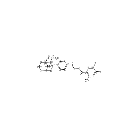 Cc1cc(Cl)c(OCCOc2ccc(C3=C(C(=O)O)[C@H]4CNCC(C3)N4)cc2)cc1C